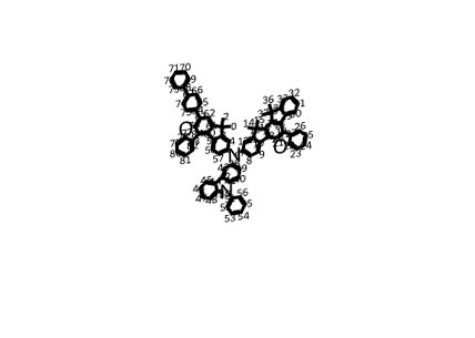 CC1(C)c2cc(N(c3ccc4c(c3)C(C)(C)c3c5c(c6c(oc7ccccc76)c3-4)-c3ccccc3C5(C)C)c3ccc4c(c3)c3ccccc3n4-c3ccccc3)ccc2-c2c1cc(-c1ccc(-c3ccccc3)cc1)c1oc3ccccc3c21